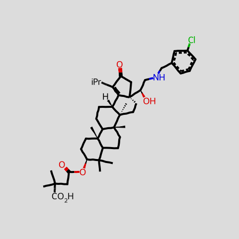 CC(C)C1=C2[C@H]3CCC4[C@@]5(C)CC[C@H](OC(=O)CC(C)(C)C(=O)O)C(C)(C)C5CC[C@@]4(C)[C@]3(C)CC[C@@]2([C@H](O)CNCc2cccc(Cl)c2)CC1=O